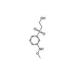 CONc1cccc(S(=O)(=O)CCO)c1